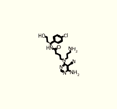 N#Cc1c(N)ncnc1N(CCCN)CCCC(=O)N[C@@H](CCO)c1ccc(Cl)cc1